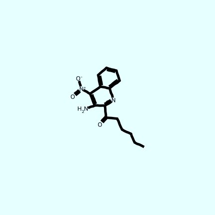 CCCCCC(=O)c1nc2ccccc2c([N+](=O)[O-])c1N